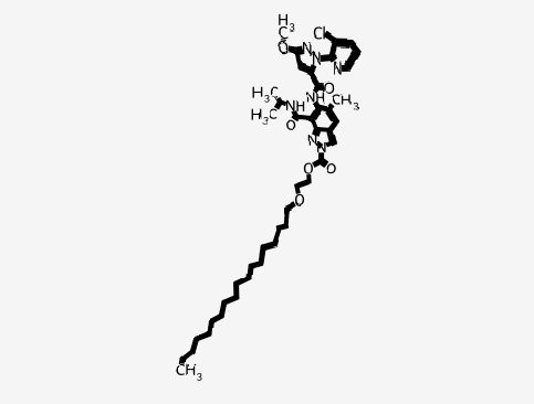 CCCCCCCCCCCCCCCCCCOCCOC(=O)n1cc2cc(C)c(NC(=O)c3cc(OC)nn3-c3ncccc3Cl)c(C(=O)NC(C)C)c2n1